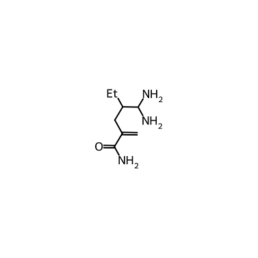 C=C(CC(CC)C(N)N)C(N)=O